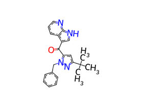 CC(C)(C)c1cc(C(=O)c2c[nH]c3ncccc23)n(Cc2ccccc2)n1